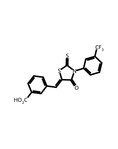 O=C(O)c1cccc(/C=C2\SC(=S)N(c3cccc(C(F)(F)F)c3)C2=O)c1